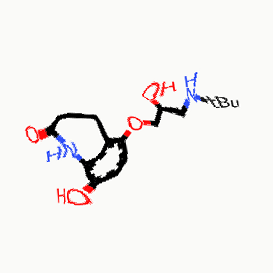 CC(C)(C)NCC(O)COc1ccc(O)c2c1CCC(=O)N2